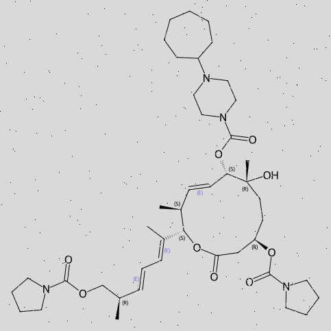 C/C(=C\C=C\[C@@H](C)COC(=O)N1CCCC1)[C@H]1OC(=O)C[C@H](OC(=O)N2CCCC2)CC[C@@](C)(O)[C@@H](OC(=O)N2CCN(C3CCCCCC3)CC2)/C=C/[C@@H]1C